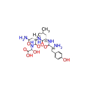 CC(C)C[C@H](NC(=O)[C@H](N)Cc1ccc(O)cc1)C(=O)N[C@@H](CC(N)=O)C(=O)NC(O)C(=O)O